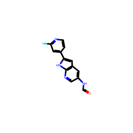 O=CNc1cnc2[nH]c(-c3ccnc(F)c3)cc2c1